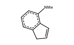 CNc1cccc2c1C=CC2